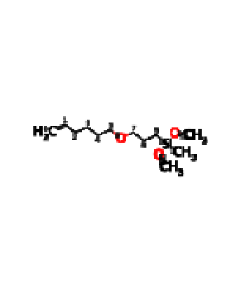 C=CCCCCOCCC[Si](C)(OC)OC